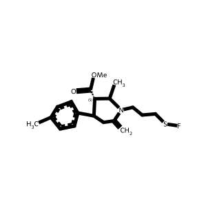 C=C1CC(c2ccc(C)cc2)[C@H](C(=O)OC)C(C)N1CCCSF